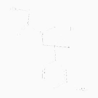 COc1cccc(C23C[C@@H]2CN(C(=O)OC(C)(C)C)C3)c1